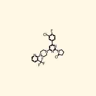 O=C1CCCN1c1nc(-c2ccc(F)c(Cl)c2)cc(N2CCN(c3ncccc3C(F)(F)F)CC2)n1